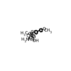 COc1ccc(-c2ccc(S(=O)(=O)N(OC(C)C)[C@H](CCN)C(=O)NO)cc2)cc1